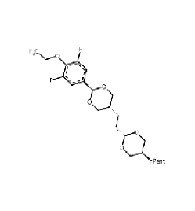 CCCCC[C@H]1CO[C@H](CC[C@H]2CO[C@H](c3cc(F)c(OCC(F)(F)F)c(F)c3)OC2)OC1